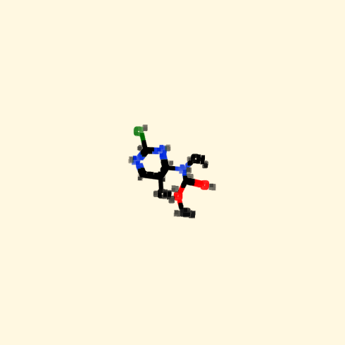 Cc1cnc(Cl)nc1N(C)C(=O)OC(C)(C)C